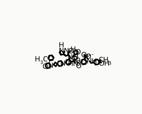 Cc1ccccc1[C@@H]1COCCN1C1CC2(CCN(c3ccc(C(=O)NS(=O)(=O)c4ccc(NCC5CCC(C)(O)CC5)c([N+](=O)[O-])c4)c(N4C[C@H]5COC[C@@H]5Oc5nc6[nH]ccc6cc54)c3)CC2)C1